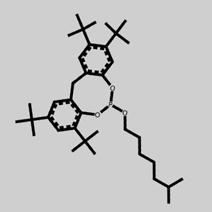 CC(C)CCCCCOP1Oc2cc(C(C)(C)C)c(C(C)(C)C)cc2Cc2cc(C(C)(C)C)cc(C(C)(C)C)c2O1